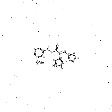 COc1cccc(OCC(=O)N(Cc2cccs2)c2cn[nH]c2)c1